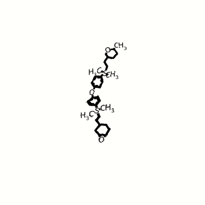 CC1CCC(CCS(C)(C)c2ccc(Oc3ccc(S(C)(C)CCC4CCC5OC5C4)cc3)cc2)CO1